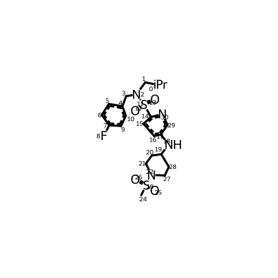 CC(C)CN(Cc1ccc(F)cc1)S(=O)(=O)c1ccc(NC2CCN(S(C)(=O)=O)CC2)cn1